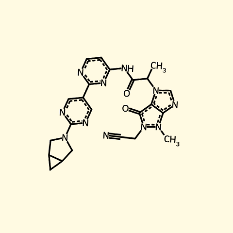 CC(C(=O)Nc1ccnc(-c2cnc(N3CC4CC4C3)nc2)n1)n1cnc2c1c(=O)n(CC#N)n2C